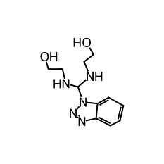 OCCNC(NCCO)n1nnc2ccccc21